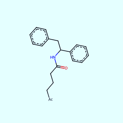 CC(=O)CCCC(=O)NC(Cc1ccccc1)c1ccccc1